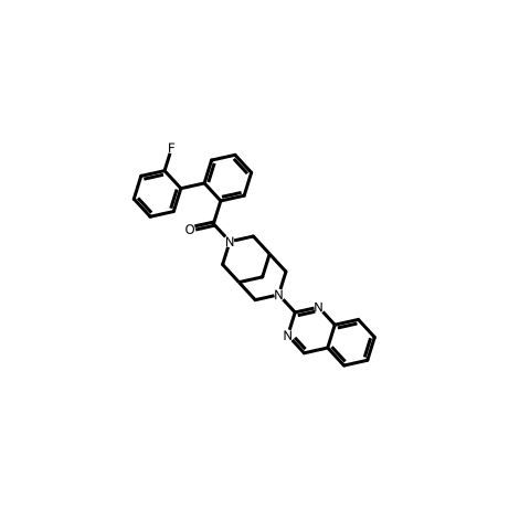 O=C(c1ccccc1-c1ccccc1F)N1CC2CC(C1)CN(c1ncc3ccccc3n1)C2